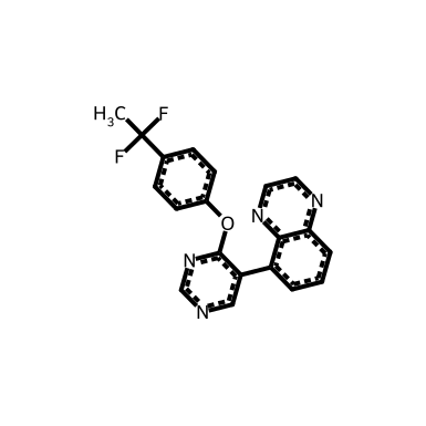 CC(F)(F)c1ccc(Oc2ncncc2-c2cccc3nccnc23)cc1